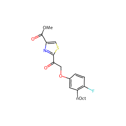 CCCCCCCCc1cc(OCC(=O)c2nc(C(=O)OC)cs2)ccc1F